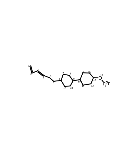 C=C/C=C/CCC1CCC(C2CCC(OCCC)CC2)CC1